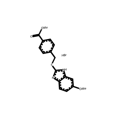 Br.COC(=O)c1ccc(CSc2nc3ccc(OC)cc3[nH]2)cc1